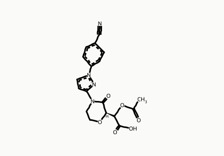 CC(=O)OC(C(=O)O)[C@H]1OCCN(c2ccn(-c3ccc(C#N)cc3)n2)C1=O